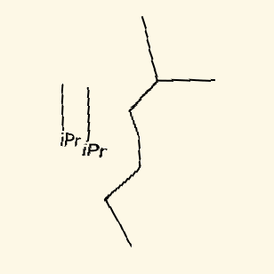 CC(C)C.CC(C)C.CCCCC(C)C